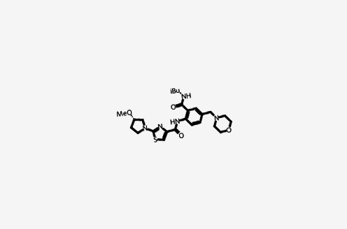 CC[C@@H](C)NC(=O)c1cc(CN2CCOCC2)ccc1NC(=O)c1csc(N2CC[C@H](OC)C2)n1